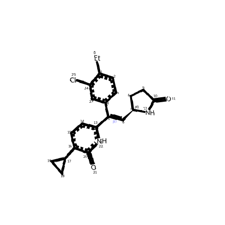 CCc1ccc(/C(=C\[C@H]2CCC(=O)N2)c2ccc(C3CC3)c(=O)[nH]2)cc1Cl